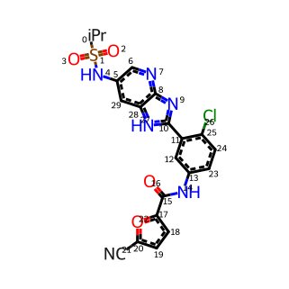 CC(C)S(=O)(=O)Nc1cnc2nc(-c3cc(NC(=O)c4ccc(C#N)o4)ccc3Cl)[nH]c2c1